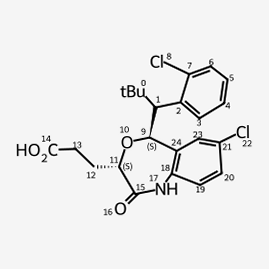 CC(C)(C)C(c1ccccc1Cl)[C@@H]1O[C@@H](CCC(=O)O)C(=O)Nc2ccc(Cl)cc21